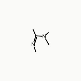 C/N=C(/C)N(C)C